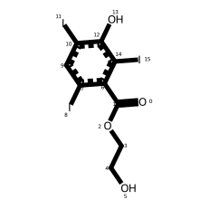 O=C(OCCO)c1c(I)cc(I)c(O)c1I